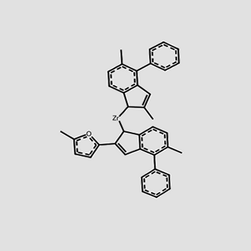 CC1=Cc2c(ccc(C)c2-c2ccccc2)[CH]1[Zr][CH]1C(c2ccc(C)o2)=Cc2c1ccc(C)c2-c1ccccc1